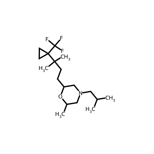 CC(C)CN1CC(C)OC(CCC(C)(C)C2(C(F)(F)F)CC2)C1